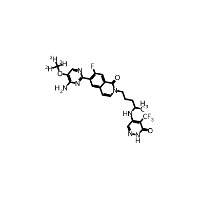 [2H]C([2H])([2H])Oc1cnc(-c2cc3ccn(CCCC(C)Nc4cn[nH]c(=O)c4C(F)(F)F)c(=O)c3cc2F)nc1N